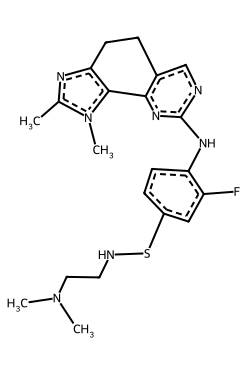 Cc1nc2c(n1C)-c1nc(Nc3ccc(SNCCN(C)C)cc3F)ncc1CC2